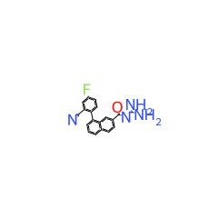 N#Cc1cc(F)ccc1-c1cccc2ccc(C(=O)N=C(N)N)cc12